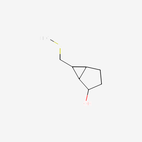 CSCC1C2CCC(O)C21